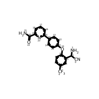 N#CC(N)c1cc(C(F)(F)F)ccc1Oc1ccc(-c2cccc(C(N)=O)n2)cc1